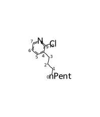 CCCCCCCCc1cccnc1Cl